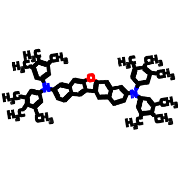 Cc1cc(N(c2cc(C)c(C)c(C)c2)c2ccc3cc4c(cc3c2)oc2cc3cc(N(c5cc(C)c(C)c(C)c5)c5cc(C)c(C)c(C)c5)ccc3cc24)cc(C)c1C